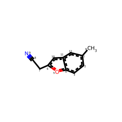 Cc1ccc2oc(CC#N)cc2c1